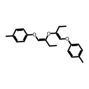 CCC(=COc1ccc(C)cc1)OC(=COc1ccc(C)cc1)CC